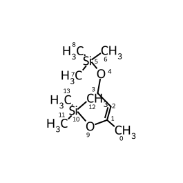 CC(=CCO[Si](C)(C)C)O[Si](C)(C)C